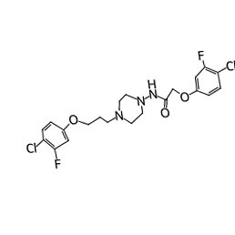 O=C(COc1ccc(Cl)c(F)c1)NN1CCN(CCCOc2ccc(Cl)c(F)c2)CC1